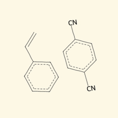 C=Cc1ccccc1.N#Cc1ccc(C#N)cc1